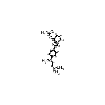 CN(C)CCN(C)c1ccc(-c2cn3cccc(OC(N)=O)c3n2)cc1